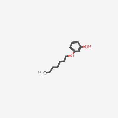 CCCCCCCOc1cccc(O)c1